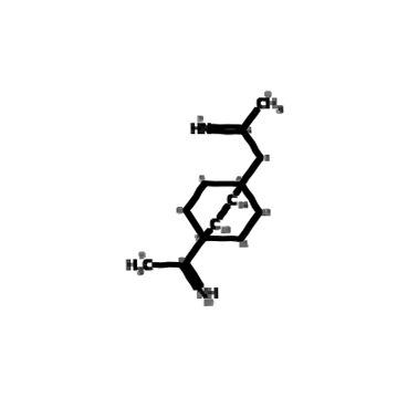 CC(=N)CC12CCC(C(C)=N)(CC1)CC2